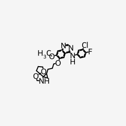 COc1cc2ncnc(Nc3ccc(F)c(Cl)c3)c2cc1OCCCC1CC12NCOC21CCCO1